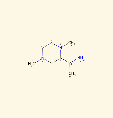 CC(N)C1CN(C)CCN1C